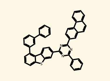 c1ccc(-c2cccc(-c3cccc4sc5cc(-c6nc(-c7ccccc7)nc(-c7ccc8c(ccc9ccccc98)c7)n6)ccc5c34)c2)cc1